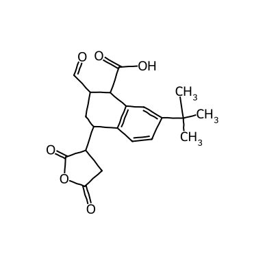 CC(C)(C)c1ccc2c(c1)C(C(=O)O)C(C=O)CC2C1CC(=O)OC1=O